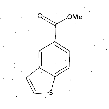 COC(=O)c1ccc2s[c]cc2c1